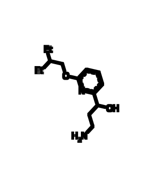 CCC(CC)COc1cccc(C(O)CCN)n1